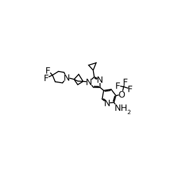 Nc1ncc(-c2cn(C34CC(N5CCC(F)(F)CC5)(C3)C4)c(C3CC3)n2)cc1OC(F)(F)F